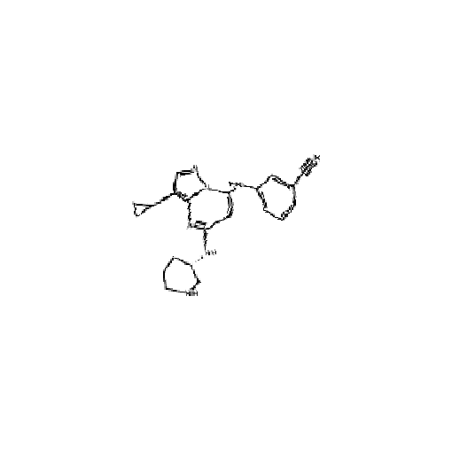 N#Cc1cccc(Nc2cc(N[C@H]3CCCNC3)nc3c(C4CC4)cnn23)c1